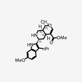 CCCc1c([C@@H]2C[C@@H]3C(C(=O)OC)=CO[C@@H](C)[C@@H]3CN2)[nH]c2cc(OC)ccc12